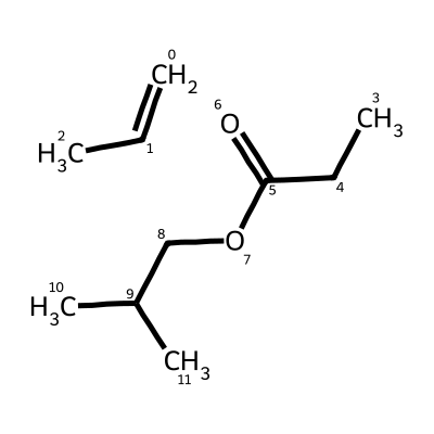 C=CC.CCC(=O)OCC(C)C